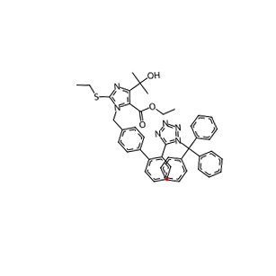 CCOC(=O)c1c(C(C)(C)O)nc(SCC)n1Cc1ccc(-c2ccccc2-c2nnnn2C(c2ccccc2)(c2ccccc2)c2ccccc2)cc1